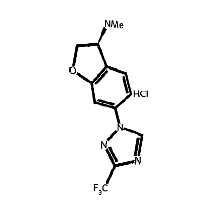 CN[C@@H]1COc2cc(-n3cnc(C(F)(F)F)n3)ccc21.Cl